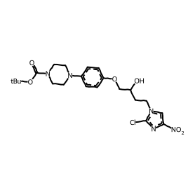 CC(C)(C)OC(=O)N1CCN(c2ccc(OCC(O)CCn3cc([N+](=O)[O-])nc3Cl)cc2)CC1